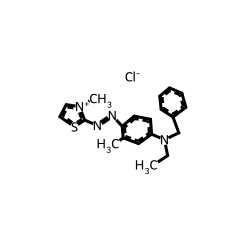 CCN(Cc1ccccc1)c1ccc(/N=N/c2scc[n+]2C)c(C)c1.[Cl-]